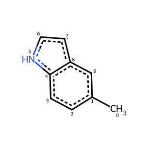 Cc1ccc2[nH]c[c]c2c1